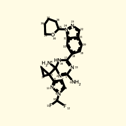 NC1=NC(N)(C2(c3ccn(C(F)F)n3)CC2)NC(c2ccc3cnn(C4CCCCO4)c3c2)=N1